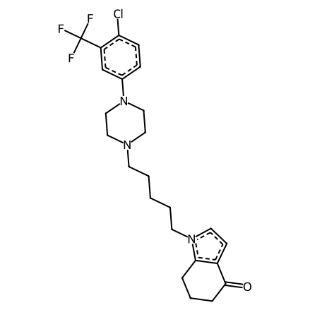 O=C1CCCc2c1ccn2CCCCCN1CCN(c2ccc(Cl)c(C(F)(F)F)c2)CC1